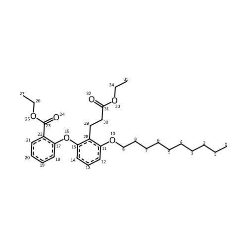 CCCCCCCCCCOc1cccc(Oc2ccccc2C(=O)OCC)c1CCC(=O)OCC